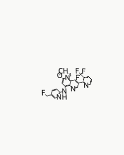 COc1cc(Nc2ccc(CF)cn2)c2ncc(-c3ncccc3C(F)(F)F)cc2n1